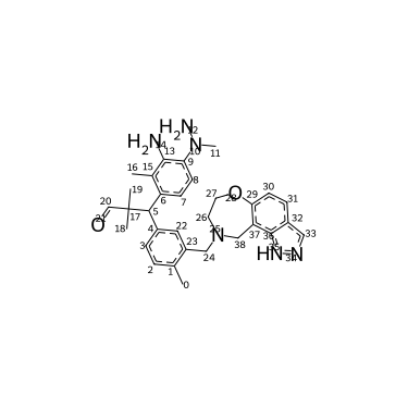 Cc1ccc(C(c2ccc(N(C)N)c(N)c2C)C(C)(C)C=O)cc1CN1CCOc2ccc3cn[nH]c3c2C1